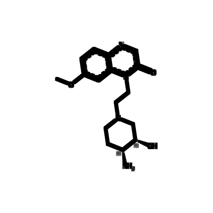 COc1ccc2ncc(=O)n(CCN3CC[C@@H](N)[C@@H](O)C3)c2c1